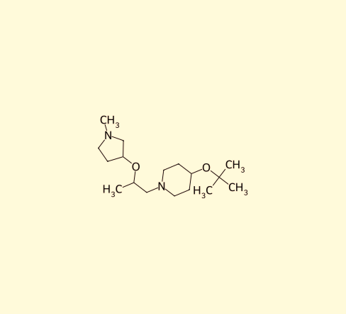 CC(CN1CCC(OC(C)(C)C)CC1)OC1CCN(C)C1